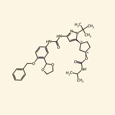 CC(C)NC(=O)O[C@@H]1CC[C@H](c2cc(NC(=O)Nc3ccc(OCc4ccccc4)c(C4OCCO4)c3)nn2C(C)(C)C)C1